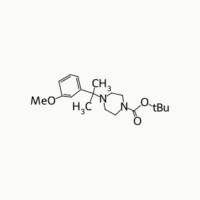 COc1cccc(C(C)(C)N2CCN(C(=O)OC(C)(C)C)CC2)c1